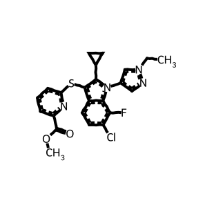 CCn1cc(-n2c(C3CC3)c(Sc3cccc(C(=O)OC)n3)c3ccc(Cl)c(F)c32)cn1